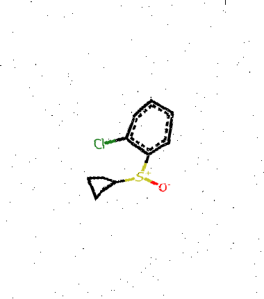 [O-][S+](c1cc[c]cc1Cl)C1CC1